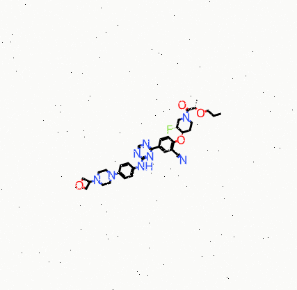 CCCO[C@@H](C)C(=O)N1CC[C@H](Oc2ccc(-c3ncnc(Nc4ccc(N5CCN(C6COC6)CC5)cc4)n3)cc2C#N)[C@H](F)C1